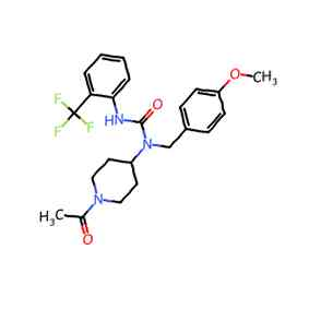 COc1ccc(CN(C(=O)Nc2ccccc2C(F)(F)F)C2CCN(C(C)=O)CC2)cc1